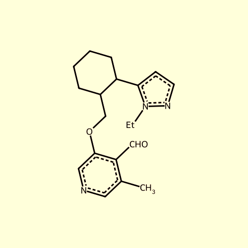 CCn1nccc1C1CCCCC1COc1cncc(C)c1C=O